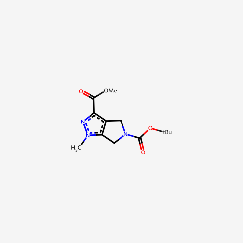 COC(=O)c1nn(C)c2c1CN(C(=O)OC(C)(C)C)C2